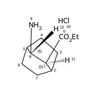 CCOC(=O)[C@H]1C2CCC(CC2)[C@@H]1N.Cl